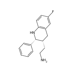 NCC[C@H]1Cc2cc(F)ccc2N[C@H]1c1ccccc1